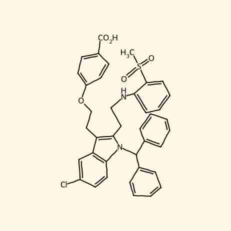 CS(=O)(=O)c1ccccc1NCCc1c(CCOc2ccc(C(=O)O)cc2)c2cc(Cl)ccc2n1C(c1ccccc1)c1ccccc1